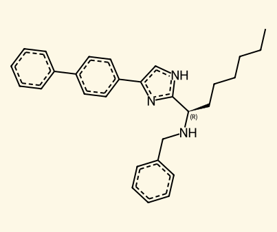 CCCCCC[C@@H](NCc1ccccc1)c1nc(-c2ccc(-c3ccccc3)cc2)c[nH]1